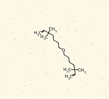 C=CC(C)(C)CCCCOCCCCC(C)(C)C=C